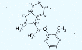 Cc1ccccc1OC(C)N1c2ccccc2CC1C